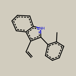 C=Cc1c(-c2ccccc2C)[nH]c2ccccc12